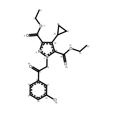 CCOC(=O)c1nn(CC(=O)c2cccc(Cl)c2)c(C(=O)OCC)c1C1CC1